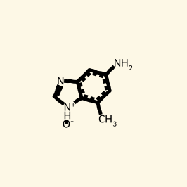 Cc1cc(N)cc2c1[NH+]([O-])C=N2